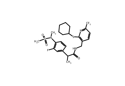 CC(C(=O)NCc1ccc(C(F)(F)F)nc1SC1CCCCC1)c1ccc(N(C)S(C)(=O)=O)c(F)c1